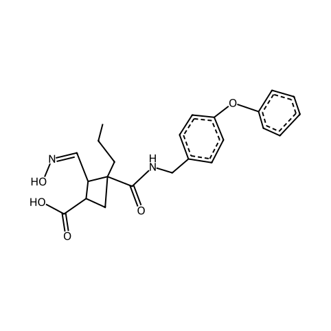 CCCC1(C(=O)NCc2ccc(Oc3ccccc3)cc2)CC(C(=O)O)C1/C=N\O